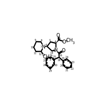 COC(=O)[C@@H]1C[C@H](N2CCCCC2C)CN1C(=O)C(c1ccccc1)c1ccccc1